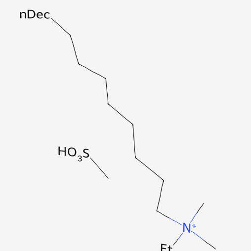 CCCCCCCCCCCCCCCCCC[N+](C)(C)CC.CS(=O)(=O)O